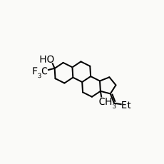 CC/C=C1\CCC2C3CCC4CC(O)(C(F)(F)F)CCC4C3CCC12C